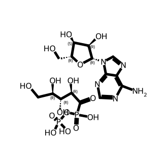 Nc1ncnc2c1ncn2[C@@H]1O[C@H](CO)[C@@H](O)[C@H]1O.O=C([C@H](O)[C@H](O)[C@H](O)CO)P(=O)(O)OP(=O)(O)O